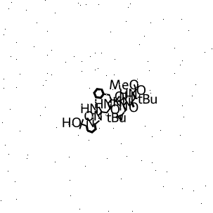 COC(=O)NC(C(=O)NN(CC1CC1)CC(O)C(Cc1ccccc1)NC(=O)C(C1CNC(=O)N1Cc1cccc(C(C)(C)O)n1)C(C)(C)C)C(C)(C)C